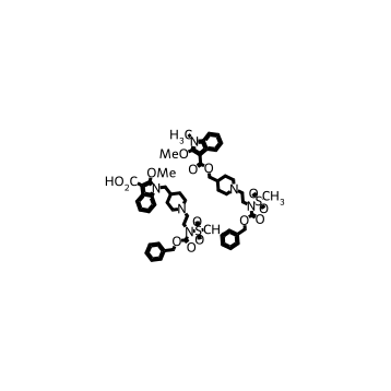 COc1c(C(=O)O)c2ccccc2n1CC1CCN(CCN(C(=O)OCc2ccccc2)S(C)(=O)=O)CC1.COc1c(C(=O)OCC2CCN(CCN(C(=O)OCc3ccccc3)S(C)(=O)=O)CC2)c2ccccc2n1C